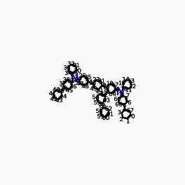 C1=CCCC(c2ccc(N(c3ccccc3)c3ccc(C4C=CC(C5=CCC(N(c6ccccc6)c6ccc(-c7ccccc7)cc6)C=C5)=CC4)c(C4=CC=CC(C5C=CC=CC5)C4)c3)cc2)=C1